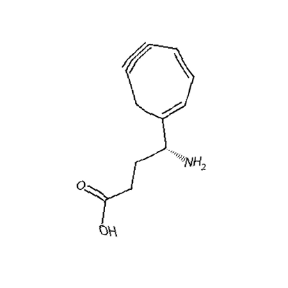 N[C@H](CCC(=O)O)C1=CC=CC#CC1